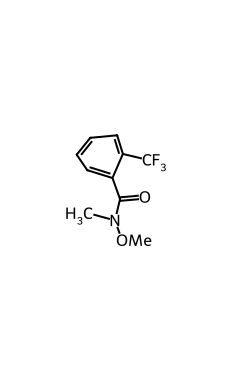 CON(C)C(=O)c1ccccc1C(F)(F)F